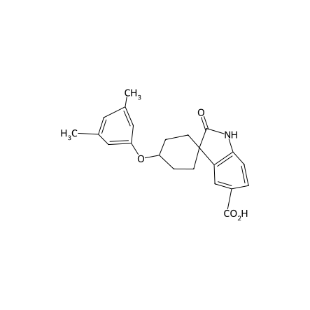 Cc1cc(C)cc(OC2CCC3(CC2)C(=O)Nc2ccc(C(=O)O)cc23)c1